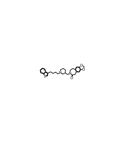 O=C1Cc2cc3c(cc2CCN1CC1CCCN(CCCCc2csc4ccccc24)C1)OCO3